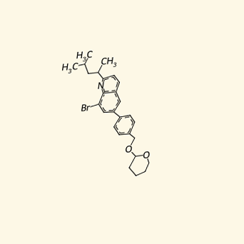 CC(C)CC(C)c1ccc2cc(-c3ccc(COC4CCCCO4)cc3)cc(Br)c2n1